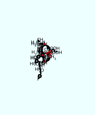 CN[C@H](CC(C)C)C(=O)N[C@H]1C(=O)N[C@@H](CC(N)=O)C(=O)NC2C(=O)N[C@H]3C(=O)N[C@H](C(=O)NC(C(=O)NCCNC(=O)/C=C/c4ccc(F)cc4)c4cc(O)cc(O)c4-c4cc3ccc4O)[C@H](O)c3ccc(c(Cl)c3)Oc3cc2cc(c3O[C@@H]2O[C@H](CO)[C@@H](O)[C@H](O)[C@H]2OC2C[C@](C)(N)[C@H](O)[C@H](C)O2)Oc2ccc(cc2Cl)[C@H]1O